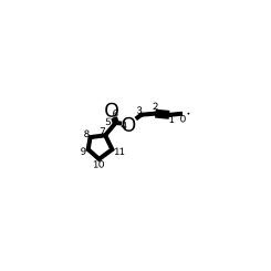 [CH2]C#CCOC(=O)C1CCCC1